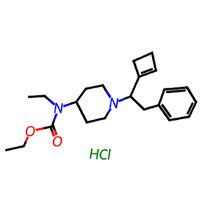 CCOC(=O)N(CC)C1CCN(C(Cc2ccccc2)C2=CCC2)CC1.Cl